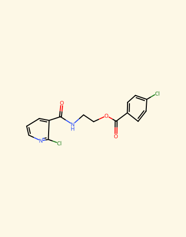 O=C(OCCNC(=O)c1cccnc1Cl)c1ccc(Cl)cc1